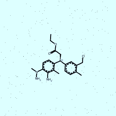 CCOC(=O)C[C@@H](c1ccc(C)c(CCl)c1)c1ccc(N(C)N)c(N)c1C